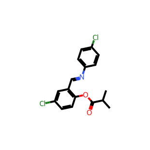 CC(C)C(=O)Oc1ccc(Cl)cc1C=Nc1ccc(Cl)cc1